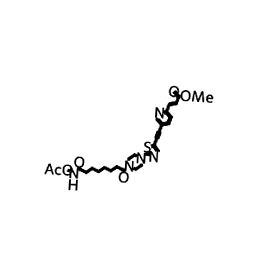 COC(=O)/C=C/c1ccc(C#Cc2cnc(N3CCN(C(=O)CCCCCCC(=O)NOC(C)=O)CC3)s2)cn1